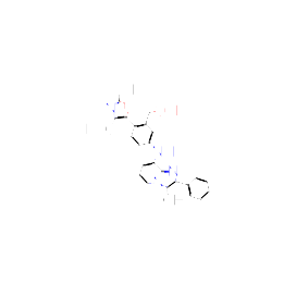 Cc1nc(C)c(-c2ccc(Nc3cccn4c(C)c(-c5ccccc5)nc34)cc2CO)o1